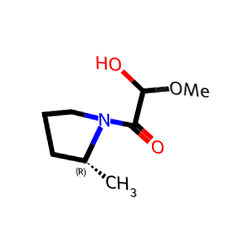 COC(O)C(=O)N1CCC[C@H]1C